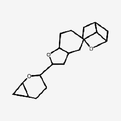 C1CC2CC(O1)C2C1CCC2OC(C3CCC4CC4O3)CC2C1